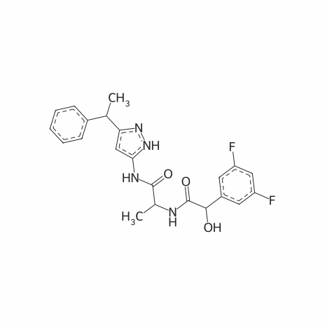 CC(NC(=O)C(O)c1cc(F)cc(F)c1)C(=O)Nc1cc(C(C)c2ccccc2)n[nH]1